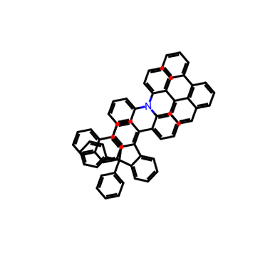 c1ccc(-c2cccc3cccc(-c4ccccc4N(c4cccc(-c5cccc6ccccc56)c4)c4ccccc4-c4cccc5c4-c4ccccc4C5(c4ccccc4)c4ccccc4)c23)cc1